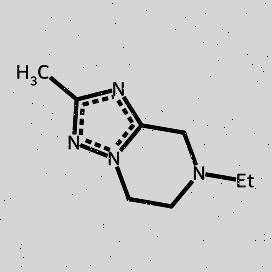 CCN1CCn2nc(C)nc2C1